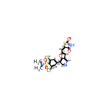 CN(C)S(=O)(=O)c1c(Cl)cc(-c2cncc3cc(/C=C4/SC(=O)NC4=O)oc23)cc1Cl